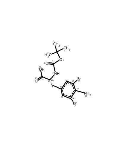 CC(C)(C)OC(=O)N[C@H](Cc1cc(Br)c(N)c(Br)c1)C(=O)O